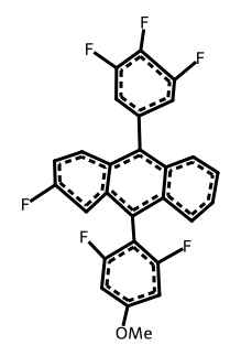 COc1cc(F)c(-c2c3ccccc3c(-c3cc(F)c(F)c(F)c3)c3ccc(F)cc23)c(F)c1